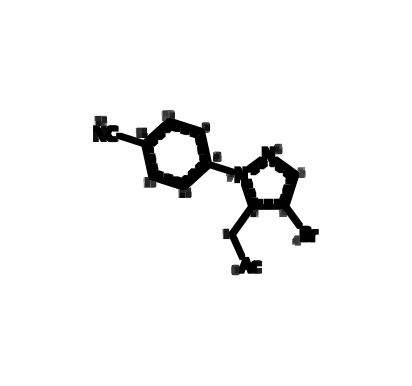 CC(=O)Cc1c(Br)cnn1-c1ccc(C#N)cc1